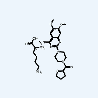 COc1cc2nc(N3CCN(C(=O)C4CCCO4)CC3)nc(N)c2cc1OC.NCCCC[C@H](N)C(=O)O